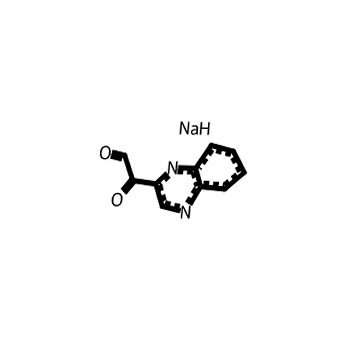 O=CC(=O)c1cnc2ccccc2n1.[NaH]